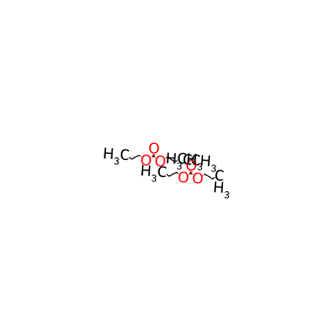 CC.CCCOC(=O)OCCC.CCCOC(=O)OCCC